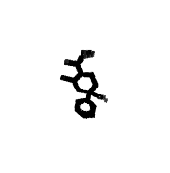 COC(=O)C1CCC(C)(c2ccccc2)CC1=O